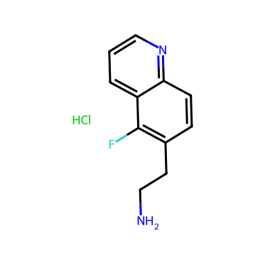 Cl.NCCc1ccc2ncccc2c1F